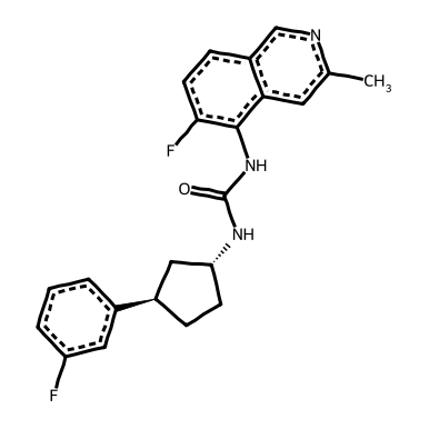 Cc1cc2c(NC(=O)N[C@@H]3CC[C@@H](c4cccc(F)c4)C3)c(F)ccc2cn1